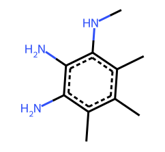 CNc1c(C)c(C)c(C)c(N)c1N